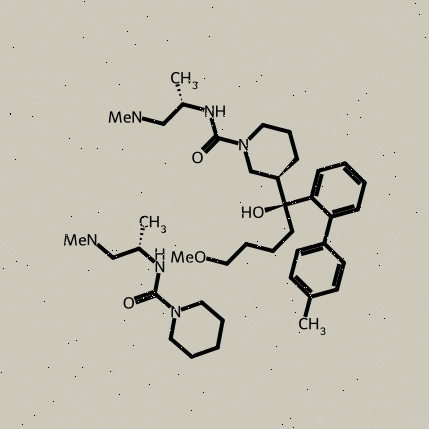 CNC[C@H](C)NC(=O)N1CCCCC1.CNC[C@H](C)NC(=O)N1CCC[C@@H]([C@@](O)(CCCCOC)c2ccccc2-c2ccc(C)cc2)C1